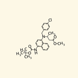 COC(=O)CC(C)N(Cc1ccc(Cl)cc1)c1ccc(NC(=O)OC(C)(C)C)c2ccccc12